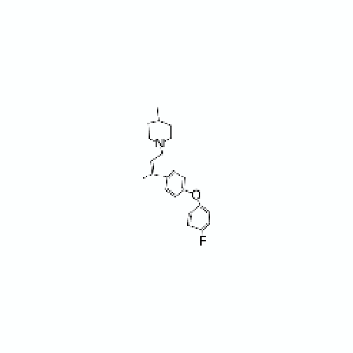 CC(=CCN1CCC(C)CC1)c1ccc(Oc2ccc(F)cc2)cc1